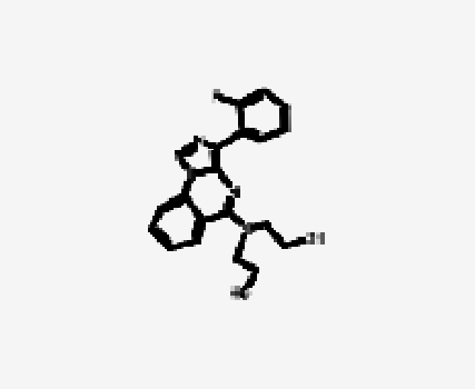 OCCN(CCO)c1nc2c(-c3ccccc3F)nnn2c2ccccc12